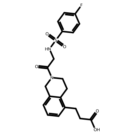 O=C(O)CCc1cccc2c1CCN(C(=O)CNS(=O)(=O)c1ccc(F)cc1)C2